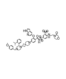 COc1ccc(CN2CCN(C3CC4(CCN(c5ccc(C(=O)NS(=O)(=O)c6ccc(NCCN7CCOCC7=O)c([N+](=O)[O-])c6)c(Oc6cnc7[nH]ccc7c6)c5)CC4)C3)[C@H](c3ccccc3C(C)C)C2)cc1